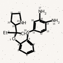 CCC(C)(Oc1ccccc1Sc1ccc(N)c(N)c1)C1CCCN1